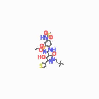 CCOP1(=O)N=C(c2c(O)c(-c3ccsc3)nn(CCC(C)(C)C)c2=O)Nc2ccc(NS(C)(=O)=O)cc21